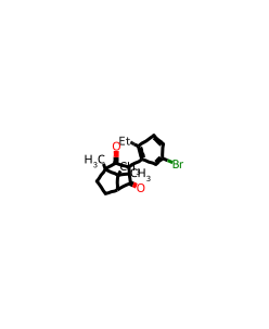 CCc1ccc(Br)cc1C1C(=O)C2CCC(C)(C1=O)C2(C)C